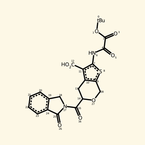 CC(C)(C)OC(=O)C(=O)Nc1sc2c(c1C(=O)O)CC(C(=O)N1Cc3ccccc3C1=O)OC2